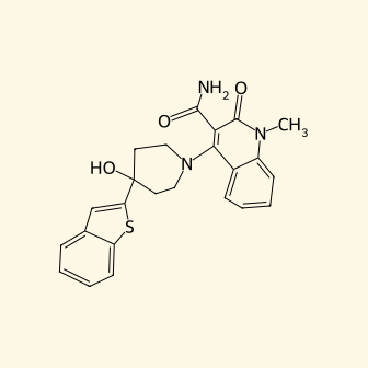 Cn1c(=O)c(C(N)=O)c(N2CCC(O)(c3cc4ccccc4s3)CC2)c2ccccc21